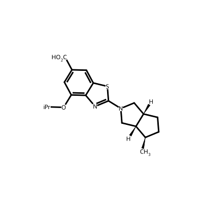 CC(C)Oc1cc(C(=O)O)cc2sc(N3C[C@@H]4CC[C@@H](C)[C@@H]4C3)nc12